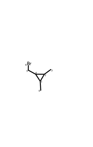 CC1C(C)C1CBr